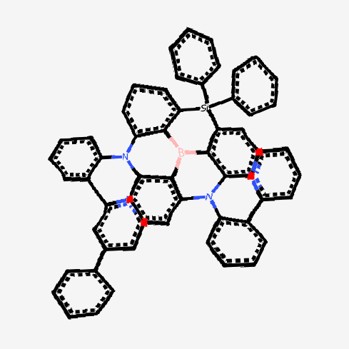 c1ccc(-c2ccnc(-c3ccccc3N3c4cccc5c4B4c6c(cccc6[Si](c6ccccc6)(c6ccccc6)c6cccc3c64)N5c3ccccc3-c3ccccn3)c2)cc1